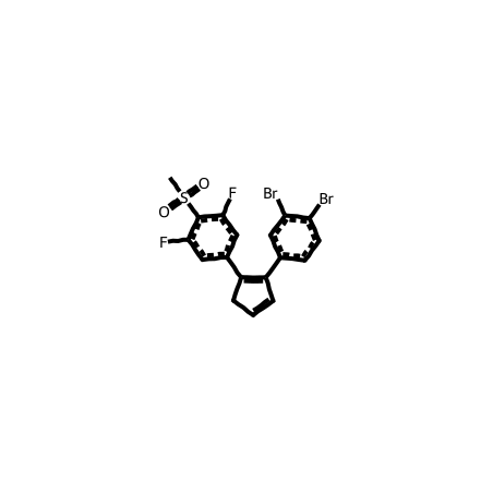 CS(=O)(=O)c1c(F)cc(C2=C(c3ccc(Br)c(Br)c3)C=CC2)cc1F